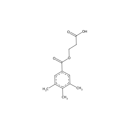 Cc1cc(C(=O)OCCC(=O)O)cc(C)c1C